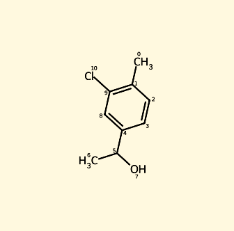 Cc1ccc(C(C)O)cc1Cl